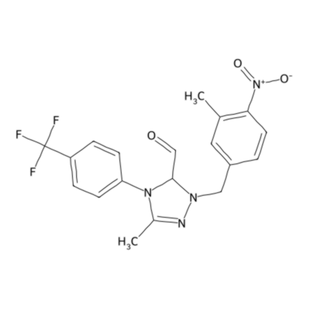 CC1=NN(Cc2ccc([N+](=O)[O-])c(C)c2)C(C=O)N1c1ccc(C(F)(F)F)cc1